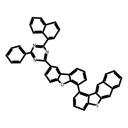 c1ccc(-c2nc(-c3ccc4oc5c(-c6cccc7sc8cc9ccccc9cc8c67)cccc5c4c3)nc(-c3cccc4ccccc34)n2)cc1